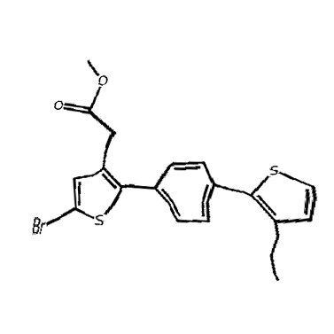 CCc1ccsc1-c1ccc(-c2sc(Br)cc2CC(=O)OC)cc1